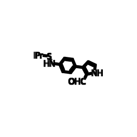 CC(C)SNc1ccc(-c2cc[nH]c2C=O)cc1